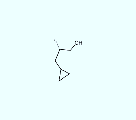 C[C@H](CO)CC1CC1